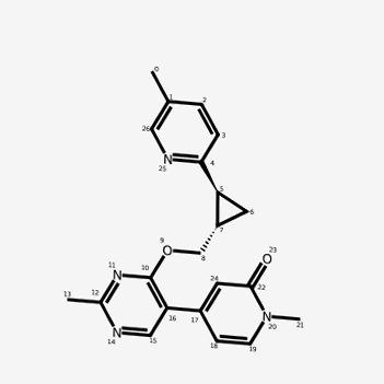 Cc1ccc([C@H]2C[C@@H]2COc2nc(C)ncc2-c2ccn(C)c(=O)c2)nc1